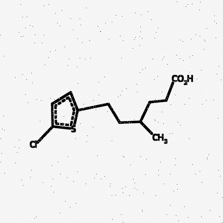 CC(CCC(=O)O)CCc1ccc(Cl)s1